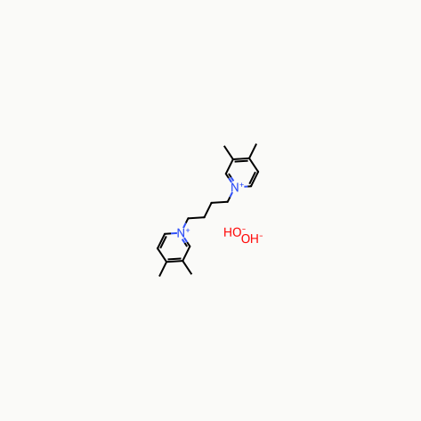 Cc1cc[n+](CCCC[n+]2ccc(C)c(C)c2)cc1C.[OH-].[OH-]